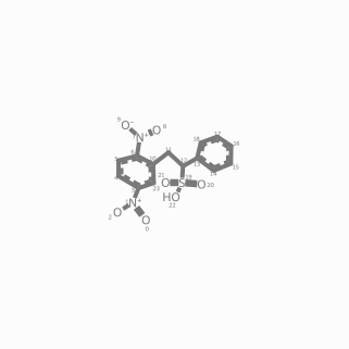 O=[N+]([O-])c1ccc([N+](=O)[O-])c(CC(c2ccccc2)S(=O)(=O)O)c1